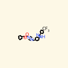 O=C(OCc1ccccc1)N1CCN(Cc2ccc3[nH]c(-c4ccc(C(F)(F)F)cc4)nc3c2)CC1